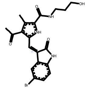 CC(=O)c1c(/C=C2\C(=O)Nc3ccc(Br)cc32)[nH]c(C(=O)NCCCO)c1C